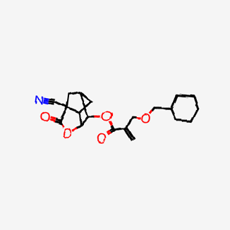 C=C(COCC1CCCCC1)C(=O)OC1C2CC3C1OC(=O)C3(C#N)C2